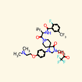 CC(C)C(NC(=O)c1cc(C(F)(F)F)ccc1F)C(=O)N1CCC2(CC1)C(=O)N(C)CN2c1ccc(OCCN(C)C)cc1.O=C(O)C(F)(F)F